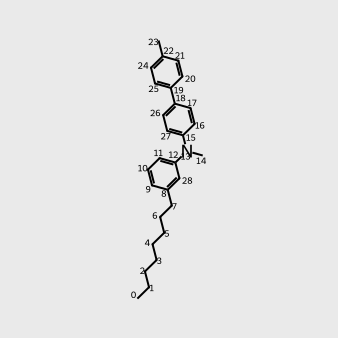 CCCCCCCCc1cccc(N(C)c2ccc(-c3ccc(C)cc3)cc2)c1